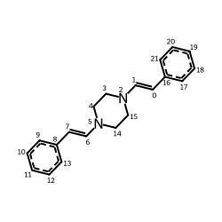 C(=CN1CCN(C=Cc2ccccc2)CC1)c1ccccc1